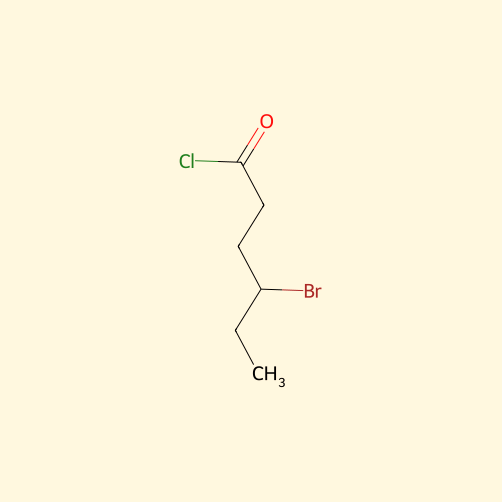 CCC(Br)CCC(=O)Cl